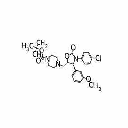 COc1cccc([C@H]2[C@H](CN3CCN(C(=O)OC(C)(C)C)CC3)OC(=O)N2c2ccc(Cl)cc2)c1